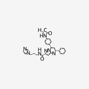 CC(=O)Nc1ccc(-c2cc(-c3ccccc3)nc3cc(C(=O)NCCCn4ccnc4)nn23)cc1